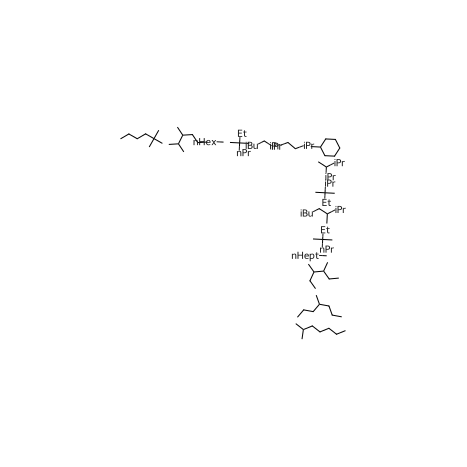 CC(C)C(C)C(C)C.CC(C)CCC(C)C.CC1CCCCC1.CCC(C)(C)C(C)C.CCC(C)C(C)CC.CCC(C)CC(C)C.CCC(C)CC(C)C(C)C.CCCC(C)(C)CC.CCCC(C)(C)CC.CCCC(C)C(C)C.CCCC(C)CCC.CCCCC(C)(C)C.CCCCCC(C)C.CCCCCCC.CCCCCCCC